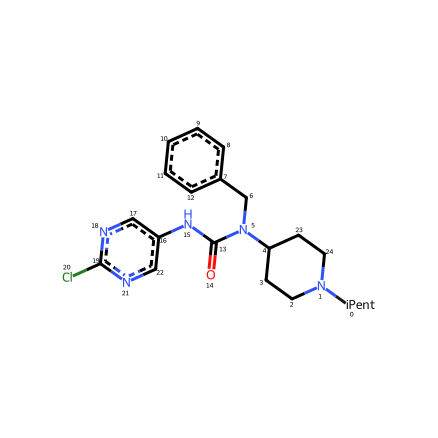 CCCC(C)N1CCC(N(Cc2ccccc2)C(=O)Nc2cnc(Cl)nc2)CC1